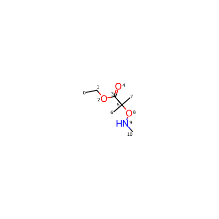 CCOC(=O)C(C)(C)ONC